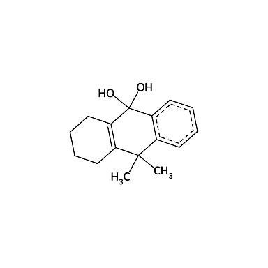 CC1(C)C2=C(CCCC2)C(O)(O)c2ccccc21